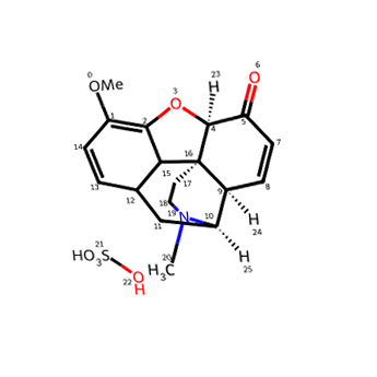 COC1=C2O[C@H]3C(=O)C=C[C@H]4[C@H]5CC(C=C1)C2[C@@]34CCN5C.O=S(=O)(O)O